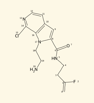 C=C(F)CCNC(=O)c1cc2ccnc(Cl)c2n1CCN